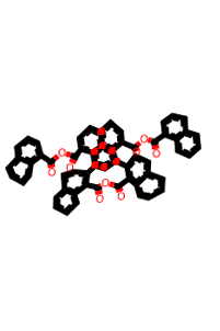 O=C(OC(=O)c1cccc2cccc(-c3ccc4ccccc4c3C(=O)OC(=O)c3c(-c4cccc5cccc(C(=O)OC(=O)c6cccc7ccccc67)c45)ccc4ccccc34)c12)c1cccc2ccccc12